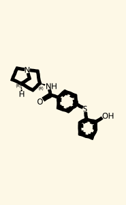 O=C(N[C@@H]1C[C@H]2CCN(C2)C1)c1ccc(Sc2ccccc2O)cc1